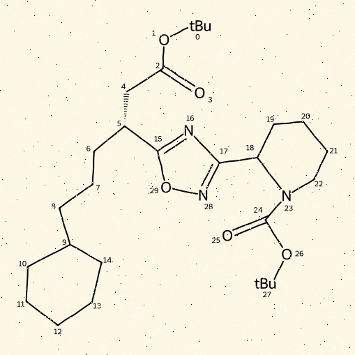 CC(C)(C)OC(=O)C[C@@H](CCCC1CCCCC1)c1nc(C2CCCCN2C(=O)OC(C)(C)C)no1